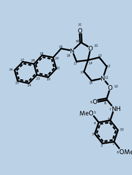 COc1ccc(OC)c(NC(=O)ON2CCC3(CC2)CN(Cc2ccc4ccccc4c2)C(=O)O3)c1